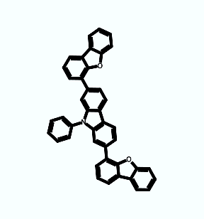 c1ccc(-n2c3cc(-c4cccc5c4oc4ccccc45)ccc3c3ccc(-c4cccc5c4oc4ccccc45)cc32)cc1